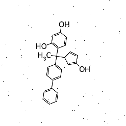 CC(c1ccc(-c2ccccc2)cc1)(c1ccc(O)cc1O)C1C=CC(O)=C1